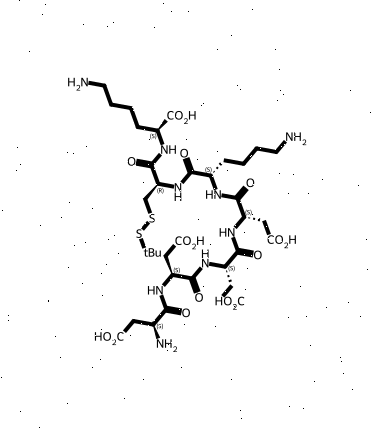 CC(C)(C)SSC[C@H](NC(=O)[C@H](CCCCN)NC(=O)[C@H](CC(=O)O)NC(=O)[C@H](CC(=O)O)NC(=O)[C@H](CC(=O)O)NC(=O)[C@@H](N)CC(=O)O)C(=O)N[C@@H](CCCCN)C(=O)O